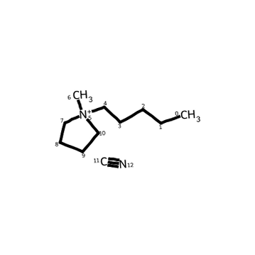 CCCCC[N+]1(C)CCCC1.[C-]#N